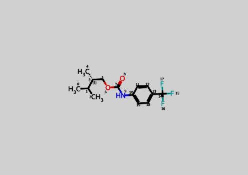 CC(C)[C@H](C)COC(=O)Nc1ccc(C(F)(F)F)cc1